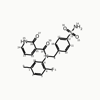 Cc1ccc(F)c(N(Cc2ccc(S(N)(=O)=O)cc2)C(=O)c2ccc[nH]c2=O)c1